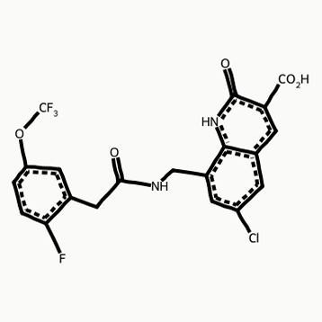 O=C(Cc1cc(OC(F)(F)F)ccc1F)NCc1cc(Cl)cc2cc(C(=O)O)c(=O)[nH]c12